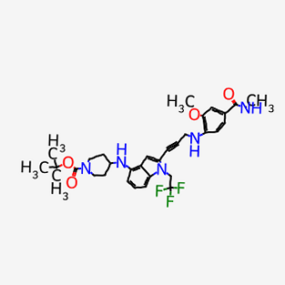 CNC(=O)c1ccc(NCC#Cc2cc3c(NC4CCN(C(=O)OC(C)(C)C)CC4)cccc3n2CC(F)(F)F)c(OC)c1